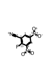 N#Cc1cc([N+](=O)[O-])cc([N+](=O)[O-])c1F